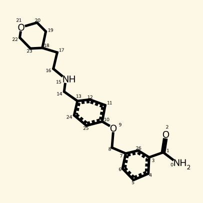 NC(=O)c1cccc(COc2ccc(CNCCC3CCOCC3)cc2)c1